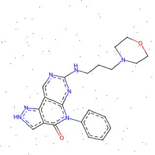 O=c1c2c[nH]nc2c2cnc(NCCCN3CCOCC3)nc2n1-c1ccccc1